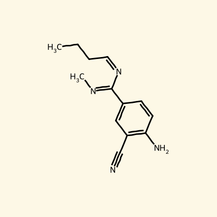 CCC/C=N\C(=N/C)c1ccc(N)c(C#N)c1